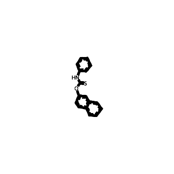 S=C(Nc1ccccc1)Oc1ccc2ccccc2c1